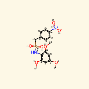 COc1cc(OC)c(NS(=O)(=O)Cc2ccc([N+](=O)[O-])cc2)c(OC)c1